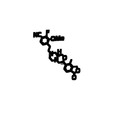 COc1c(CCN2CCN3C[C@H](c4ccc5c(c4C)COC5=O)OC[C@H]3C2)ccc(C#N)c1F